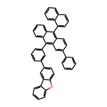 c1ccc(-c2ccc3c(-c4cccc5ccccc45)c4ccccc4c(-c4cccc(-c5ccc6oc7ccccc7c6c5)c4)c3c2)cc1